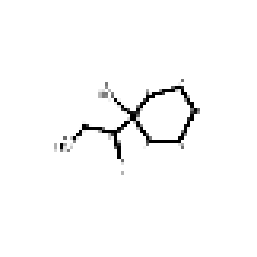 OCC(F)C1(O)CCCCC1